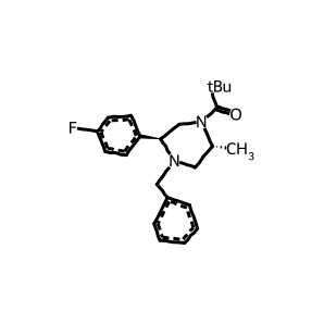 C[C@@H]1CN(Cc2ccccc2)[C@@H](c2ccc(F)cc2)CN1C(=O)C(C)(C)C